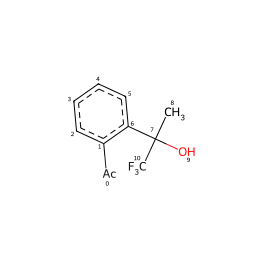 CC(=O)c1ccccc1C(C)(O)C(F)(F)F